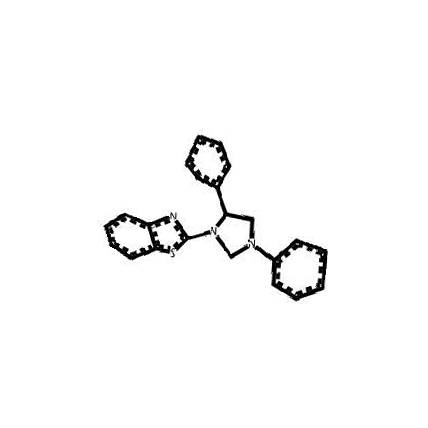 c1ccc(C2CN(c3ccccc3)CN2c2nc3ccccc3s2)cc1